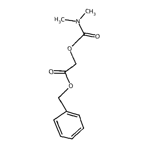 CN(C)C(=O)OCC(=O)OCc1ccccc1